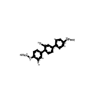 CCCCCCOc1ccc(-c2ccc(-c3ccc(CCCCC)cc3)cc2F)cc1F